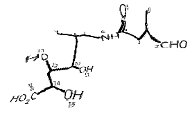 CC(C=O)CC(=O)NCC(C)C(O)C(O)C(O)C(=O)O